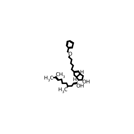 CC(C)=CCCCC(C)CC=C(O)[C@@H]1[C@@H]2CC(CCCCCOCc3ccccc3)=C[C@@H]2C[C@H]1O